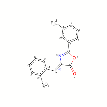 O=C1OC(c2cccc(C(F)(F)F)c2)=N/C1=C\c1ccccc1[N+](=O)[O-]